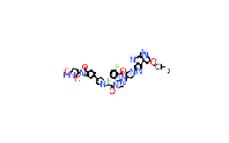 CCOc1cc(-c2ccc(N3CCC(CN4CCN(C(=O)CCN5CCC(c6ccc7c(c6)CN(C6CCC(=O)NC6=O)C7=O)CC5)CC4)(NC(=O)c4cc(F)ccc4F)CC3)nc2)c2c(C#N)cnn2c1